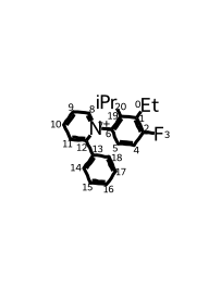 CCc1c(F)ccc(-[n+]2ccccc2-c2ccccc2)c1C(C)C